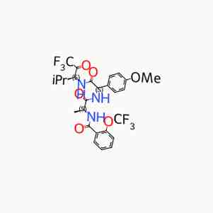 COc1ccc([C@H](NC(=O)[C@H](C)NC(=O)c2ccccc2OC(F)(F)F)C(=O)N[C@H](C(=O)C(F)(F)F)C(C)C)cc1